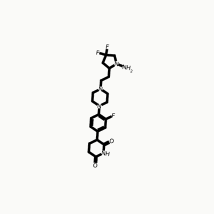 NN1CC(F)(F)CC1CCN1CCN(c2ccc(C3CCC(=O)NC3=O)cc2F)CC1